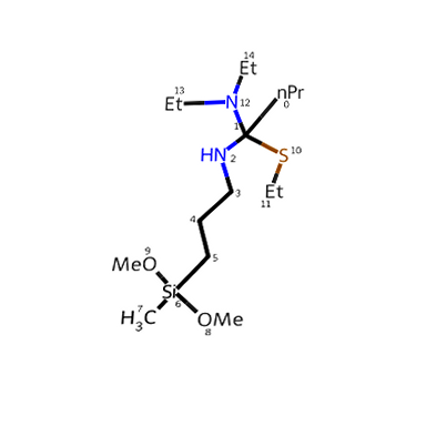 CCCC(NCCC[Si](C)(OC)OC)(SCC)N(CC)CC